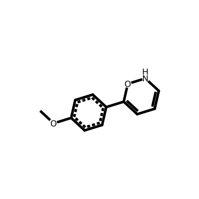 COc1ccc(C2=CC=CNO2)cc1